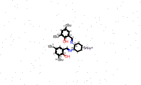 CC(C)(C)c1cc(C=N[C@@H]2CCCC[C@H]2N=Cc2cc(C(C)(C)C)cc(C(C)(C)C)c2O)c(O)c(C(C)(C)C)c1.[I].[I].[Sn]